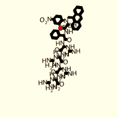 N=C(N)NC(NC(=O)C(NC(=N)N)NC(=O)C(NC(=N)N)NC(=O)C(NC(=N)N)NC(=O)C(NC(=O)C(O)N(Cc1c2ccccc2cc2ccccc12)c1ccc([N+](=O)[O-])cc1C(F)(F)F)c1ccccc1)C(N)=O